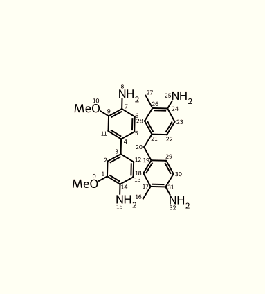 COc1cc(-c2ccc(N)c(OC)c2)ccc1N.Cc1cc(Cc2ccc(N)c(C)c2)ccc1N